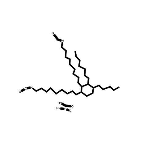 CCCCCCCC1C(CCCCC)CCC(CCCCCCCCCN=C=O)C1CCCCCCCCCN=C=O.N=C=O.N=C=O